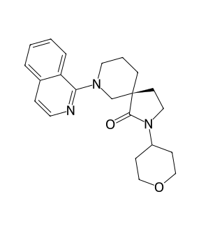 O=C1N(C2CCOCC2)CC[C@@]12CCCN(c1nccc3ccccc13)C2